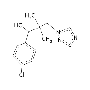 CC(C)(Cn1cncn1)C(O)c1ccc(Cl)cc1